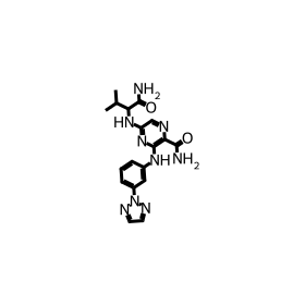 CC(C)C(Nc1cnc(C(N)=O)c(Nc2cccc(-n3nccn3)c2)n1)C(N)=O